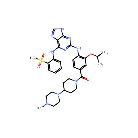 CC(C)Oc1cc(C(=O)N2CCC(N3CCN(C)CC3)CC2)ccc1Nc1nc(Nc2ccccc2S(C)(=O)=O)c2nc[nH]c2n1